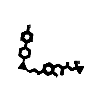 O=C(Cc1ccc(OCC[C@@H]2C[C@@H]2C2CCN(c3ncc(Cl)cn3)CC2)cc1F)NCC1(O)CC1